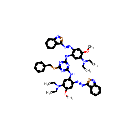 CCN(CC)c1cc(Nc2nc(Nc3cc(N(CC)CC)c(OC)cc3/N=N/c3snc4ccccc34)nc(SCc3ccccc3)n2)c(/N=N/c2snc3ccccc23)cc1OC